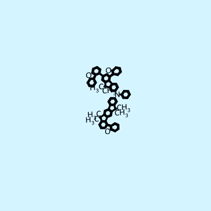 CC1(C)c2cc(N(c3ccccc3)c3ccc4c(c3)C(C)(C)c3cc(-c5cccc6oc7ccccc7c56)c5oc6ccccc6c5c3-4)ccc2-c2cc3c(cc21)-c1c(ccc2oc4ccccc4c12)C3(C)C